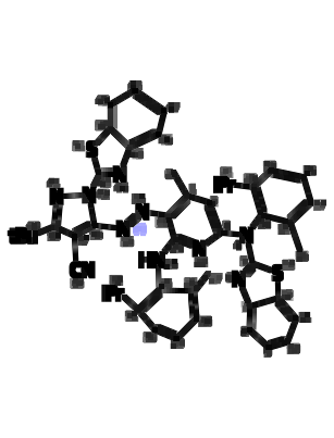 Cc1cc(N(c2nc3ccccc3s2)c2c(C)cccc2C(C)C)nc(Nc2c(C)cccc2C(C)C)c1/N=N/c1c(C#N)c(C(C)(C)C)nn1-c1nc2ccccc2s1